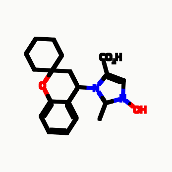 CC1N(O)C=C(C(=O)O)N1C1CC2(CCCCC2)Oc2ccccc21